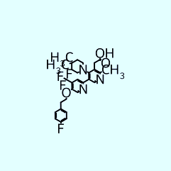 Cc1ncc(-c2cc(C(F)(F)F)c(OCCc3ccc(F)cc3)cn2)c(N2CCC(C)(C)CC2)c1CC(=O)O